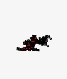 C=CCOC(=O)N[C@H](C(=O)N[C@@H](C)C(=O)Nc1ccc(COC(=O)N2c3cc(OCCCOc4cc5c(cc4OC)C(=O)N4C=C(c6ccc(OC)cc6)C[C@H]4C(O[Si](C)(C)C(C)(C)C)N5C(=O)OCC=C)c(OC)cc3C(=O)N3CC4(CC4)C[C@H]3C2O)cc1)C(C)C